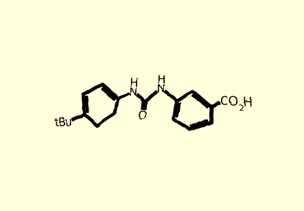 CC(C)(C)C1=CC=C(NC(=O)Nc2cccc(C(=O)O)c2)CC1